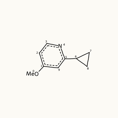 COc1ccnc(C2CC2)c1